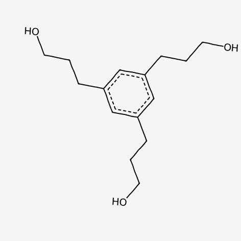 OCCCc1cc(CCCO)cc(CCCO)c1